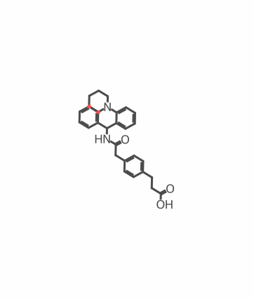 O=C(O)CCc1ccc(CC(=O)NC(c2ccccc2)c2ccccc2N2CCCCC2)cc1